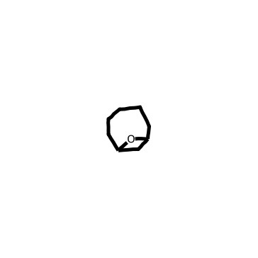 C1CCC2CC(CC1)O2